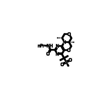 CCCNC(=O)c1nc2c(c(C(C)(C)S(C)(=O)=O)n1)OC[C@]1(C)COC[C@@H](C)N21